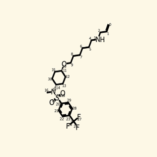 C=CCNCCCCCCO[C@H]1CC[C@H](N(C)S(=O)(=O)c2ccc(C(F)(F)F)cc2)CC1